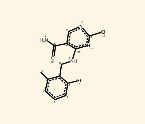 CCc1cccc(C)c1CNc1nc(Cl)ncc1C(N)=O